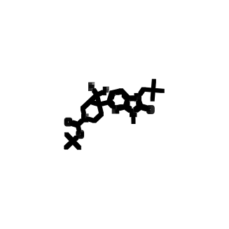 Cn1c(=O)n(CC(C)(C)C)c2ccc(C34CCN(C(=O)OC(C)(C)C)CC3C4(F)F)nc21